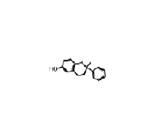 CC1(c2ccccc2)[CH]c2ccc(O)cc2CC1